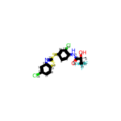 C[C@@](O)(C(=O)Nc1ccc(Sc2nc3cc(Cl)ccc3s2)cc1Cl)C(F)(F)F